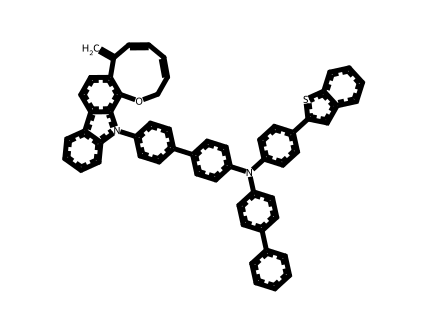 C=C1/C=C\C=C/COc2c1ccc1c3ccccc3n(-c3ccc(-c4ccc(N(c5ccc(-c6ccccc6)cc5)c5ccc(-c6cc7ccccc7s6)cc5)cc4)cc3)c21